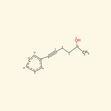 CC(O)CCC#Cc1ccccc1